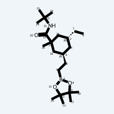 CC[C@@H]1C[C@@H](CCB2OC(C)(C)C(C)(C)O2)CC(C)(C(=O)NC(C)(C)C)C1